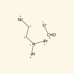 CC(C)N(C[CH2][Ni+])C(C)C.O=C[O-]